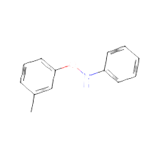 Cc1cccc(ONc2ccccc2)c1